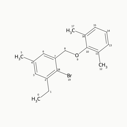 CCc1cc(C)cc(COc2c(C)cccc2C)c1Br